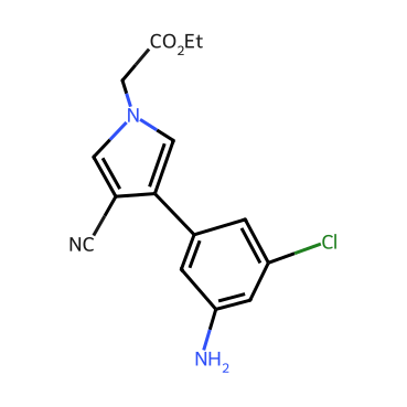 CCOC(=O)Cn1cc(C#N)c(-c2cc(N)cc(Cl)c2)c1